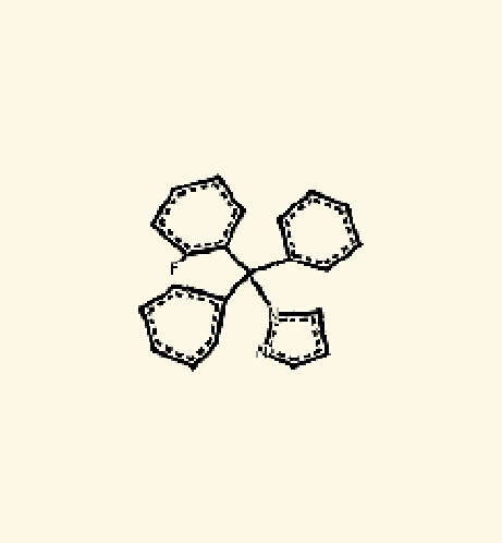 Fc1ccccc1C(c1ccccc1)(c1ccccc1)n1cccn1